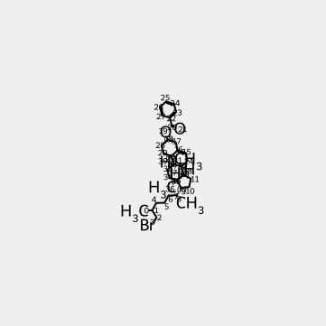 CC(CBr)CCCC(C)[C@H]1CC[C@H]2[C@@H]3CC=C4C[C@@H](OC(=O)c5ccccc5)CC[C@]4(C)[C@H]3CC[C@]12C